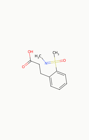 CN=S(C)(=O)c1ccccc1CCC(=O)O